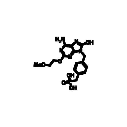 COCCOc1nc(N)c2nc(O)n(Cc3ccc(CP(=O)(O)O)cc3)c2n1